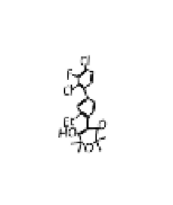 CCc1cc(-c2ccc(Cl)c(F)c2Cl)ccc1C1=C(O)C(C)(C)OC(C)(C)C1=O